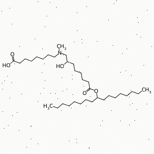 CCCCCCCCC(CCCCCCCC)OC(=O)CCCCCC(O)CN(C)CCCCCCCC(=O)O